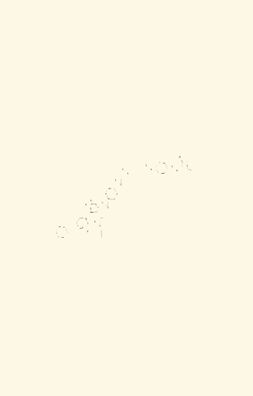 NC(=O)c1c(-c2ccc(Oc3ccccc3)nc2)nn2c1Nc1ccc(N3CCN(CC4CCN(c5ccc(N6CCC(=O)NC6=O)cc5)CC4)CC3)cc1CC2